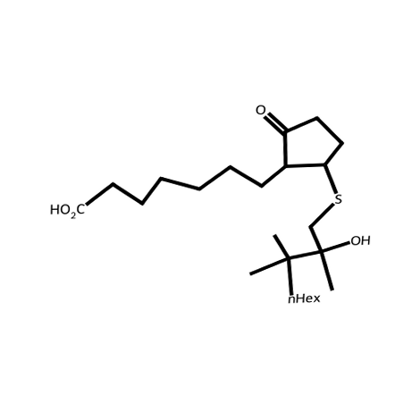 CCCCCCC(C)(C)C(C)(O)CSC1CCC(=O)C1CCCCCCC(=O)O